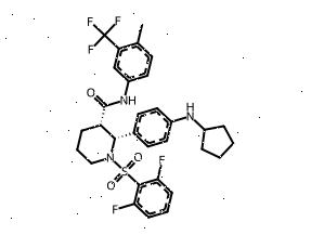 Cc1ccc(NC(=O)[C@H]2CCCN(S(=O)(=O)c3c(F)cccc3F)[C@H]2c2ccc(NC3CCCC3)cc2)cc1C(F)(F)F